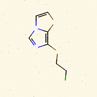 BrCCSc1ncn2ccsc12